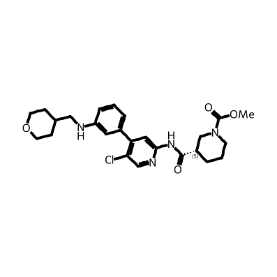 COC(=O)N1CCC[C@H](C(=O)Nc2cc(-c3cccc(NCC4CCOCC4)c3)c(Cl)cn2)C1